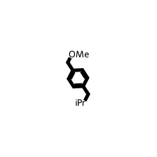 COCc1ccc(CC(C)C)cc1